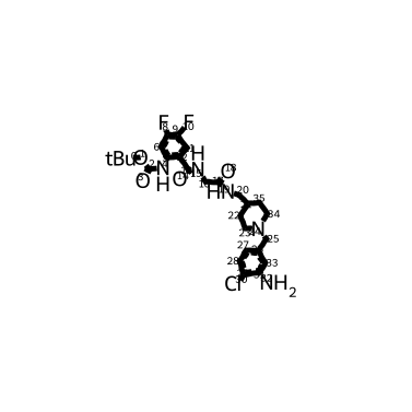 CC(C)(C)OC(=O)Nc1cc(F)c(F)cc1C(=O)NCC(=O)NCC1CCN(Cc2ccc(Cl)c(N)c2)CC1